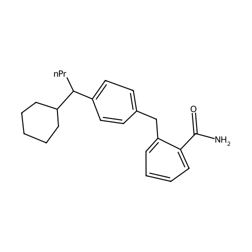 CCCC(c1ccc(Cc2ccccc2C(N)=O)cc1)C1CCCCC1